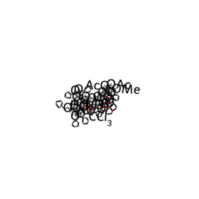 CO[C@H]1O[C@H](COCc2ccccc2)[C@@H](O[C@@H]2O[C@H](CO[C@@H]3O[C@H](C(OC(=O)c4ccccc4)C(=O)c4ccccc4)[C@@H](O[C@@H]4O[C@H](COCc5ccccc5)[C@H](OCc5ccccc5)[C@H](OCc5ccccc5)[C@H]4OCc4ccccc4)[C@H](O)[C@@H]3NC(=O)OCC(Cl)(Cl)Cl)[C@H](OC(=O)c3ccccc3)[C@H](OC(=O)c3ccccc3)[C@H]2OC(=O)c2ccccc2)[C@H](OC(C)=O)[C@H]1OC(C)=O